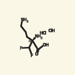 Cl.Cl.NCCC[C@](N)(C(=O)O)C(F)F